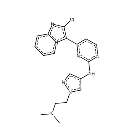 CN(C)CCn1cc(Nc2nccc(-c3c(Cl)nc4ccccn34)n2)cn1